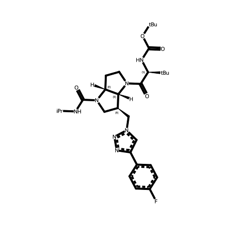 CC(C)NC(=O)N1C[C@H](Cn2cc(-c3ccc(F)cc3)nn2)[C@@H]2[C@H]1CCN2C(=O)[C@@H](NC(=O)OC(C)(C)C)C(C)(C)C